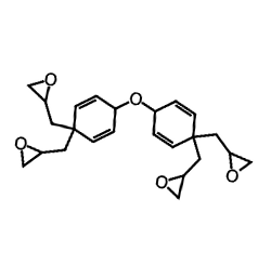 C1=CC(CC2CO2)(CC2CO2)C=CC1OC1C=CC(CC2CO2)(CC2CO2)C=C1